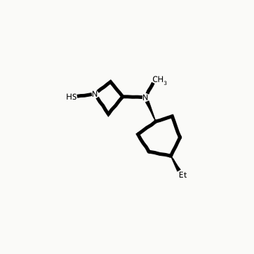 CC[C@H]1CC[C@@H](N(C)C2CN(S)C2)CC1